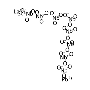 [La+3].[O]=[Nb](=[O])[O-].[O]=[Nb](=[O])[O-].[O]=[Nb](=[O])[O-].[O]=[Nb](=[O])[O-].[O]=[Nb](=[O])[O-].[O]=[Nb](=[O])[O-].[O]=[Nb](=[O])[O-].[O]=[Nb](=[O])[O-].[Pb+2].[Sc+3]